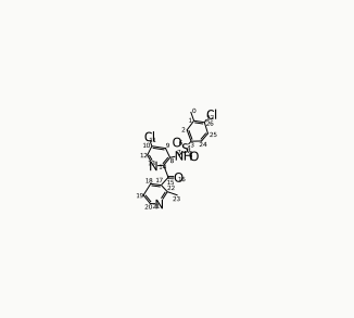 Cc1cc(S(=O)(=O)Nc2cc(Cl)cnc2C(=O)c2cccnc2C)ccc1Cl